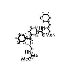 CNCC(CC1CCCOC1)NC(=O)N1CCCC([C@@H](OCCNC(=O)OC)c2cccc(F)c2)C1